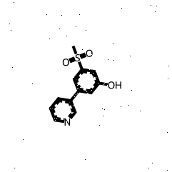 CS(=O)(=O)c1cc(O)cc(-c2cccnc2)c1